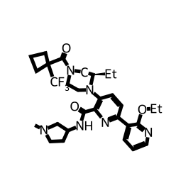 CCOc1ncccc1-c1ccc(N2CCN(C(=O)C3(C(F)(F)F)CCC3)C[C@H]2CC)c(C(=O)NC2CCN(C)C2)n1